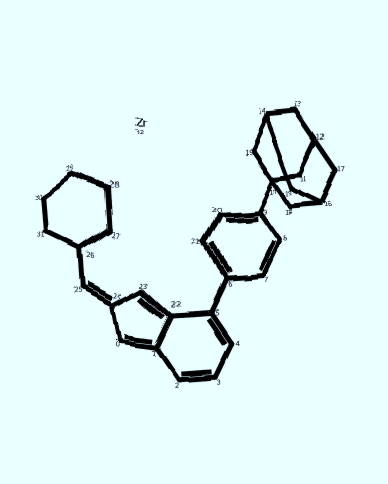 [C]1=c2cccc(-c3ccc(C45CC6CC(CC(C6)C4)C5)cc3)c2=CC1=CC1CCCCC1.[Zr]